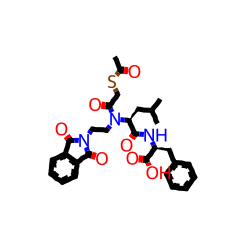 CC(=O)SCC(=O)N(CCN1C(=O)c2ccccc2C1=O)[C@@H](CC(C)C)C(=O)N[C@@H](Cc1ccccc1)C(=O)O